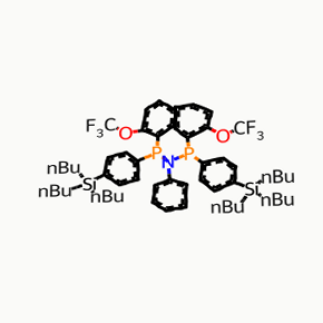 CCCC[Si](CCCC)(CCCC)c1ccc(P(c2ccccc2OC(F)(F)F)N(c2ccccc2)P(c2ccc([Si](CCCC)(CCCC)CCCC)cc2)c2ccccc2OC(F)(F)F)cc1